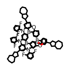 Fc1cccc(F)c1N1c2cc3c(cc2B2c4ccccc4Oc4cc(C5CC6CCCCCC6C5)cc1c42)B1c2cc4c(cc2N(c2c(F)cccc2F)c2cc(C5CC6CCCCCC6C5)cc(c21)N3c1c(F)cccc1F)Oc1cc(C2CC3CCCCCC3C2)cc2c1B4c1ccccc1O2